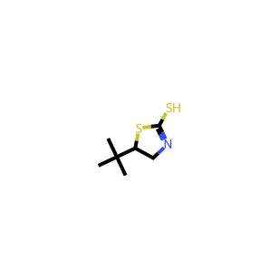 CC(C)(C)C1CN=C(S)S1